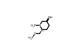 N=C1CC[C@@H](COP)N(P)C1